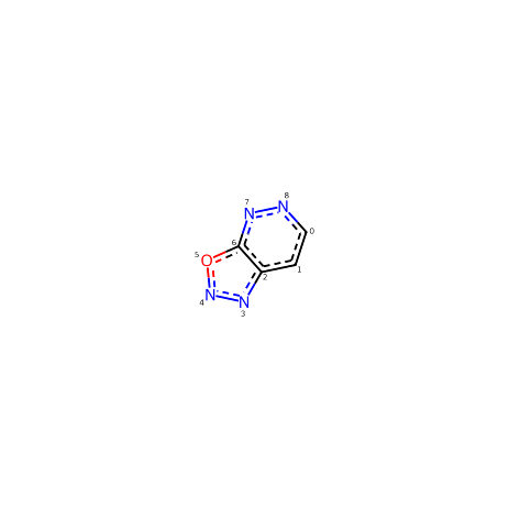 c1cc2nnoc2nn1